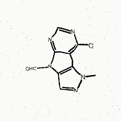 Cn1ncc2c1c1c(Cl)ncnc1n2C=O